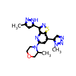 Cc1cc(-c2nsc3c(-c4cnnn4C)cc(N4CCOCC4C)nc23)[nH]n1